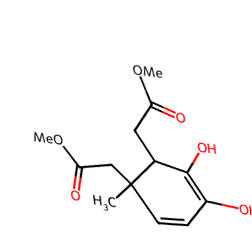 COC(=O)CC1C(O)=C(O)C=CC1(C)CC(=O)OC